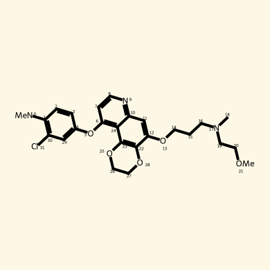 CNc1ccc(Oc2ccnc3cc(OCCCN(C)CCOC)c4c(c23)OCCO4)cc1Cl